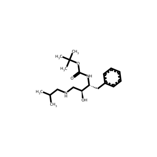 CC(C)CNC[C@H](O)[C@@H](Cc1ccccc1)NC(=O)OC(C)(C)C